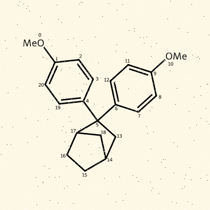 COc1ccc(C2(c3ccc(OC)cc3)CC3CCC2C3)cc1